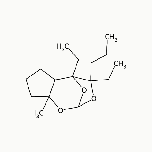 CCCC1(CC)OC2OC3(C)CCCC3C1(CC)O2